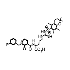 Cc1c(C)c(S(=O)(=O)NC(=N)NCCC[C@H](NC(=O)c2cccn(Cc3cccc(F)c3)c2=O)C(=O)O)c(C)c2c1OC(C)(C)CC2